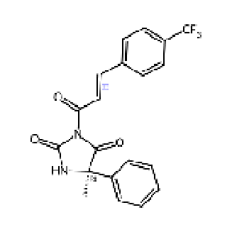 C[C@]1(c2ccccc2)NC(=O)N(C(=O)/C=C/c2ccc(C(F)(F)F)cc2)C1=O